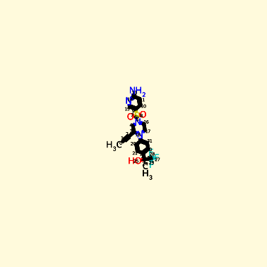 CC#CC1CN(S(=O)(=O)c2ccc(N)nc2)CCN1c1ccc([C@](C)(O)C(F)(F)F)cc1